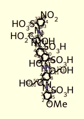 COc1ccc(/N=N/c2cc(OCCO)c(/N=N/c3c(S(=O)(=O)O)cc4c(S(=O)(=O)O)c(-n5nc(C(=O)O)c(/N=N/c6ccc([N+](=O)[O-])cc6S(=O)(=O)O)c5O)ccc4c3O)cc2OCCO)c(S(=O)(=O)O)c1